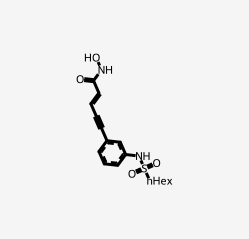 CCCCCCS(=O)(=O)Nc1cccc(C#CC=CC(=O)NO)c1